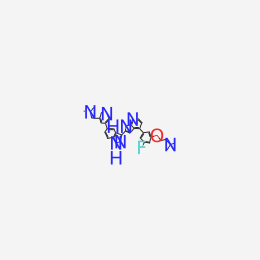 CN(C)CCOc1cc(F)cc(-c2ccnc3[nH]c(-c4n[nH]c5ccc(-c6cncc(CN(C)C)c6)cc45)cc23)c1